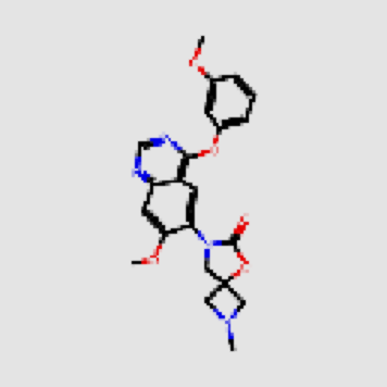 COc1cccc(Oc2ncnc3cc(OC)c(N4CC5(CN(C)C5)OC4=O)cc23)c1